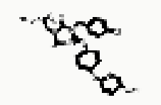 COc1ccc(Oc2ccc(/N=c3\[nH]c(=O)n(C[C@H](C)C(=O)O)c(=O)n3Cc3ccc(Cl)cc3)cc2)nc1